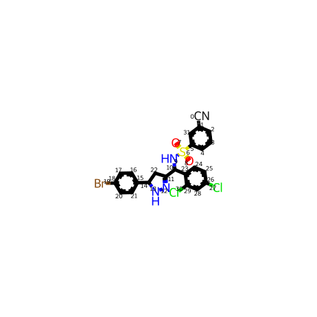 N#Cc1cccc(S(=O)(=O)NC(C2=NNC(c3ccc(Br)cc3)C2)c2ccc(Cl)cc2Cl)c1